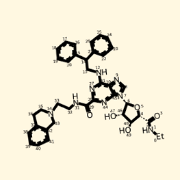 CCNC(=O)[C@H]1O[C@@H](n2cnc3c(NCC(c4ccccc4)c4ccccc4)nc(C(=O)NCCN4CCc5ccccc5C4)nc32)[C@@H](O)[C@@H]1O